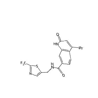 CC(C)c1cc(=O)[nH]c2cc(C(=O)NCc3cnc(C(F)(F)F)s3)ccc12